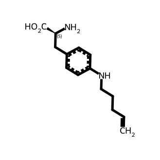 C=CCCCNc1ccc(C[C@H](N)C(=O)O)cc1